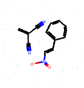 C=C(C#N)C#N.O=[N+]([O-])C=Cc1ccccc1